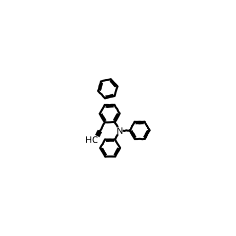 C#Cc1ccccc1N(c1ccccc1)c1ccccc1.c1ccccc1